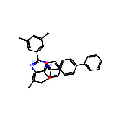 C\C1=C(c2ccccc2)/N=C(c2cc(C)cc(C)c2)\N=C(\c2ccc(-c3ccccc3)cc2)CC1